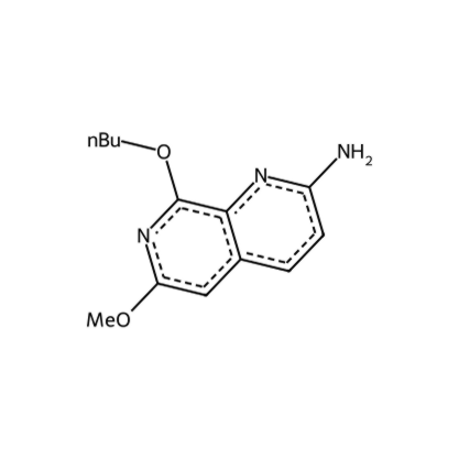 CCCCOc1nc(OC)cc2ccc(N)nc12